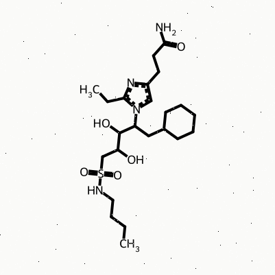 CCCCNS(=O)(=O)CC(O)C(O)C(CC1CCCCC1)n1cc(CCC(N)=O)nc1CC